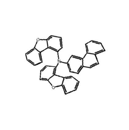 c1ccc2c(c1)ccc1ccc(N(c3cccc4oc5ccccc5c34)c3cccc4oc5ccccc5c34)cc12